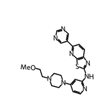 COCCN1CCN(c2ccnc(Nc3nc4ccc(-c5cncnc5)nc4s3)c2)CC1